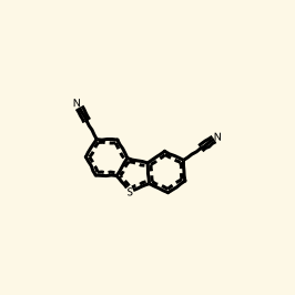 N#Cc1ccc2sc3ccc(C#N)cc3c2c1